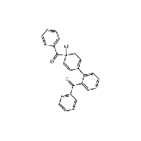 O=C(c1ccccc1)c1ccccc1C1=CCC(Cl)(C(=O)c2ccccc2)C=C1